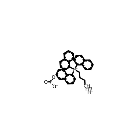 CCCC[P+](c1cccc2ccccc12)(c1cccc2ccccc12)c1cccc2ccccc12.[H+].[H+].[O-]P([O-])[O-]